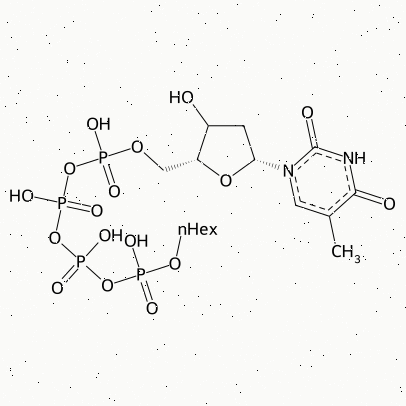 CCCCCCOP(=O)(O)OP(=O)(O)OP(=O)(O)OP(=O)(O)OC[C@H]1O[C@@H](n2cc(C)c(=O)[nH]c2=O)CC1O